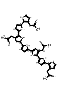 O=C(O)Cc1ccsc1-c1ccc(-c2sc(-c3ccc(-c4cc(CC(=O)O)c(-c5ccc(-c6sccc6CC(=O)O)s5)s4)o3)cc2CC(=O)O)s1